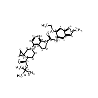 CCOc1cc2nn(C)cc2cc1NC(=O)N1CCc2c(N3CCN(C(=O)OC(C)(C)C)C4(CC4)C3)ccnc21